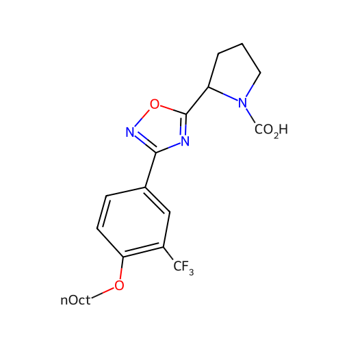 CCCCCCCCOc1ccc(-c2noc(C3CCCN3C(=O)O)n2)cc1C(F)(F)F